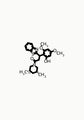 COc1cc(O)c(C(CC(=O)N2C[C@H](C)C[C@H](C)C2)c2nc3ccccc3s2)c(OC)c1